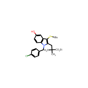 CCOC(=O)C(C)(C)Cc1c(SC(C)(C)C)c2cc(O)ccc2n1Cc1ccc(Cl)cc1